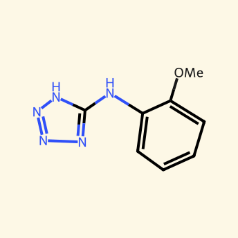 COc1ccccc1Nc1nnn[nH]1